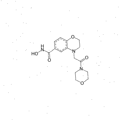 O=C(NO)c1ccc2c(c1)N(CC(=O)N1CCOCC1)CCO2